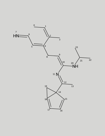 C/C=C(C)\C(=C/C=N)C/C=C(\N=C(/C)C12C=CC=C1C2)NC(C)C